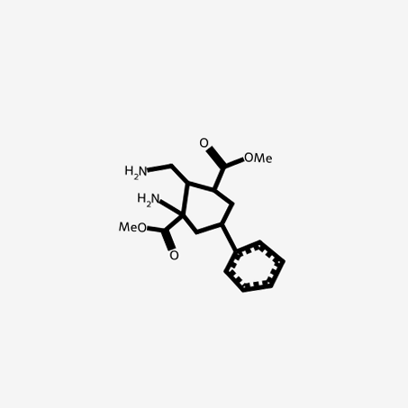 COC(=O)C1CC(c2ccccc2)CC(N)(C(=O)OC)C1CN